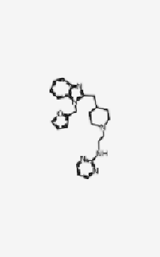 c1cnc(NCCN2CCC(Cc3nc4ccccc4n3Cc3ccco3)CC2)nc1